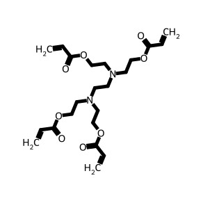 C=CC(=O)OCCN(CCOC(=O)C=C)CCN(CCOC(=O)C=C)CCOC(=O)C=C